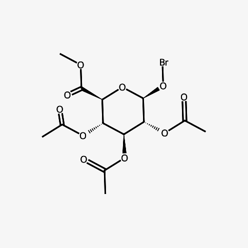 COC(=O)[C@H]1O[C@@H](OBr)[C@H](OC(C)=O)[C@@H](OC(C)=O)[C@@H]1OC(C)=O